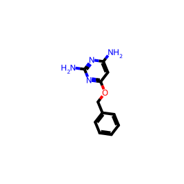 Nc1cc(OCc2ccccc2)nc(N)n1